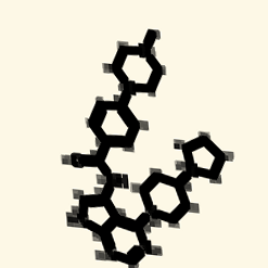 CN1CCN(c2ccc(C(=O)Nc3c[nH]c4ncnc(N5CCC(N6CCCC6)CC5)c34)cc2)CC1